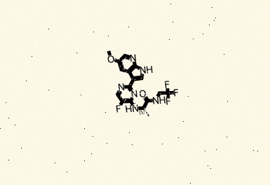 COc1cnc2[nH]cc(-c3ncc(F)c(N[C@@H](C)C(=O)NCC(F)(F)F)n3)c2c1